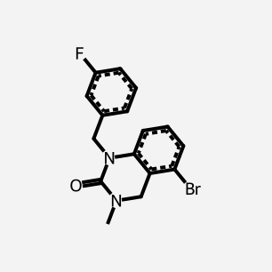 CN1Cc2c(Br)cccc2N(Cc2cccc(F)c2)C1=O